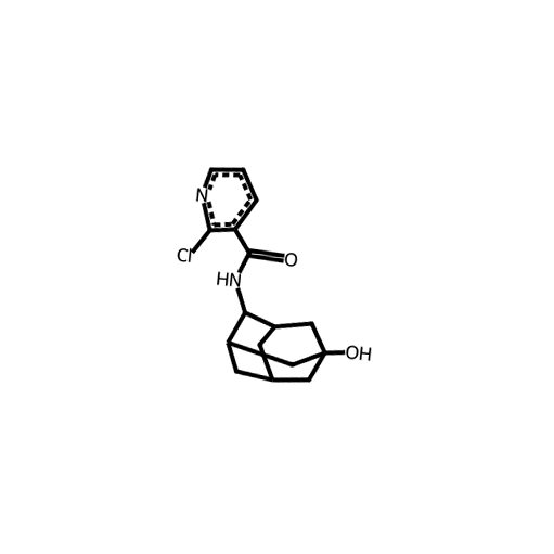 O=C(NC1C2CC3CC1CC(O)(C3)C2)c1cccnc1Cl